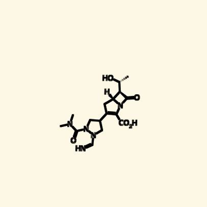 C[C@@H](O)[C@H]1C(=O)N2C(C(=O)O)=C(C3CN(C=N)N(C(=O)N(C)C)C3)C[C@H]12